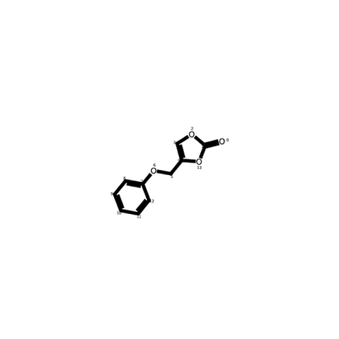 O=c1occ(COc2ccccc2)o1